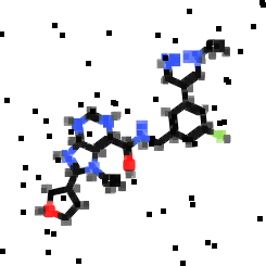 CN/C=C(\C=N)c1cc(F)cc(CNC(=O)c2ncnc3nc(C4CCOC4)n(C)c23)c1